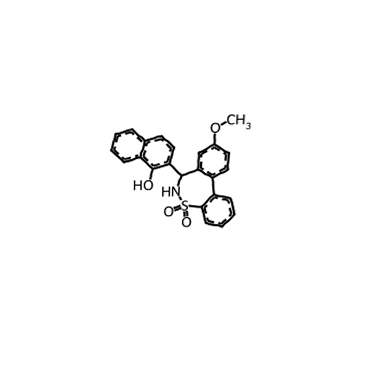 COc1ccc2c(c1)C(c1ccc3ccccc3c1O)NS(=O)(=O)c1ccccc1-2